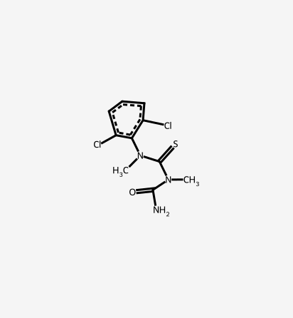 CN(C(N)=O)C(=S)N(C)c1c(Cl)cccc1Cl